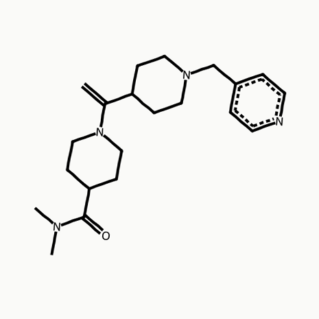 C=C(C1CCN(Cc2ccncc2)CC1)N1CCC(C(=O)N(C)C)CC1